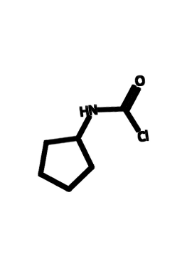 O=C(Cl)NC1CCCC1